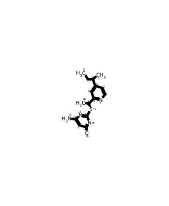 CCC(C)c1ccnc(C(C)Sc2nc(N)cc(Cl)n2)c1